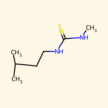 CNC(=S)NCCC(C)C